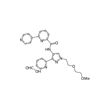 COCCOCCn1cc(NC(=O)c2cccc(-c3ccncc3)n2)c(-c2ccccn2)n1.O=CO